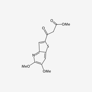 COC(=O)CC(=O)c1cc2nc(OC)c(OC)cc2s1